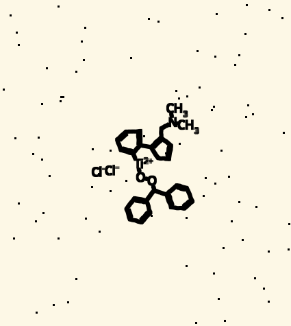 CN(C)CC1=C(c2cccc[c]2[Ti+2][O]OC(c2ccccc2)c2ccccc2)CC=C1.[Cl-].[Cl-]